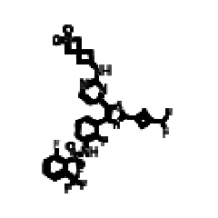 O=S1(=O)CC2(CC(Nc3nccc(-c4sc(C56CC(C(F)F)(C5)C6)nc4-c4cccc(NS(=O)(=O)c5c(F)cccc5C(F)(F)F)c4F)n3)C2)C1